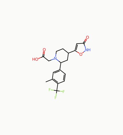 Cc1cc(C2CC(c3cc(=O)[nH]o3)CCN2CC(=O)O)ccc1C(F)(F)F